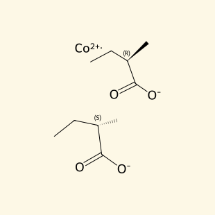 CC[C@@H](C)C(=O)[O-].CC[C@H](C)C(=O)[O-].[Co+2]